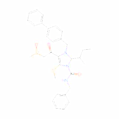 CCC(C)C1N(Cc2ccc(-c3ccccc3)cc2)C(C(=O)C[S+](C)[O-])=C(SC)N1C(=O)NCc1ccccc1